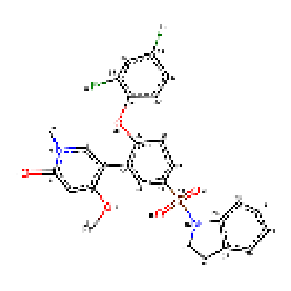 CCOc1cc(=O)n(C)cc1-c1cc(S(=O)(=O)N2CCc3ccccc32)ccc1Oc1ccc(F)cc1F